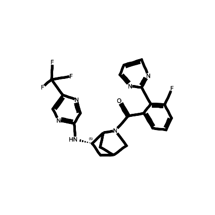 O=C(c1cccc(F)c1-c1ncccn1)N1CC2CC1[C@@H](Nc1cnc(C(F)(F)F)cn1)C2